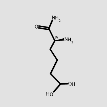 NC(=O)[C@@H](N)CCCC(O)O